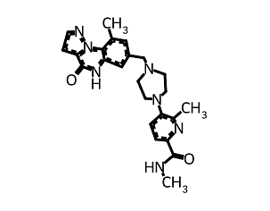 CNC(=O)c1ccc(N2CCN(Cc3cc(C)c4c(c3)[nH]c(=O)c3ccnn34)CC2)c(C)n1